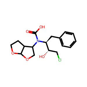 O=C(O)N(C1COC2OCCC21)[C@@H](Cc1ccccc1)[C@@H](O)CCl